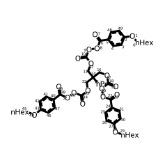 CCCCCCOc1ccc(C(=O)OOC(=O)OCC(CCC)(COC(=O)OOC(=O)c2ccc(OCCCCCC)cc2)COC(=O)OOC(=O)c2ccc(OCCCCCC)cc2)cc1